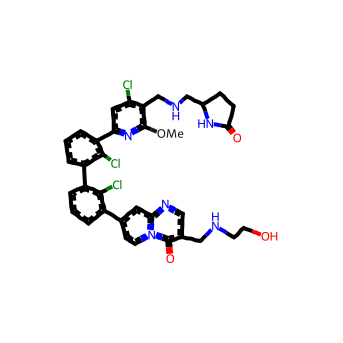 COc1nc(-c2cccc(-c3cccc(-c4ccn5c(=O)c(CNCCO)cnc5c4)c3Cl)c2Cl)cc(Cl)c1CNCC1CCC(=O)N1